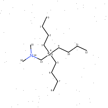 CCC[CH2][Sn]([CH2]CCC)([CH2]CCC)[CH2]N(C)C